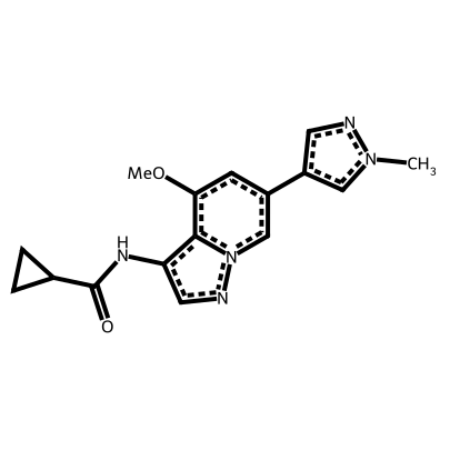 COc1cc(-c2cnn(C)c2)cn2ncc(NC(=O)C3CC3)c12